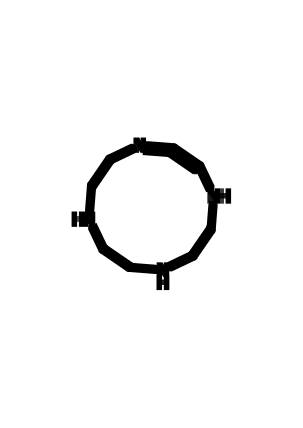 C1=CNCCNCCNCCN=1